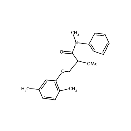 COC(COc1cc(C)ccc1C)C(=O)N(C)c1ccccc1